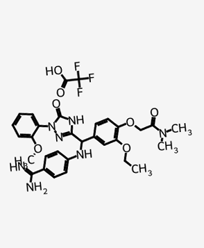 CCOc1cc(C(Nc2ccc(C(=N)N)cc2)c2nn(-c3ccccc3OC)c(=O)[nH]2)ccc1OCC(=O)N(C)C.O=C(O)C(F)(F)F